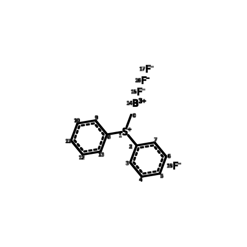 C[S+](c1ccccc1)c1ccccc1.[B+3].[F-].[F-].[F-].[F-]